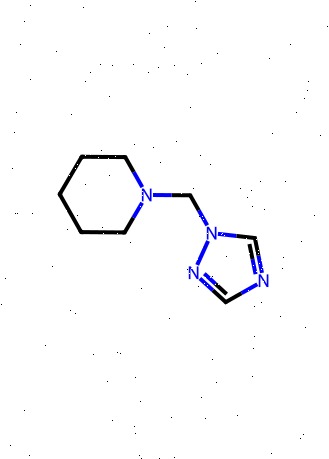 c1ncn(CN2CCCCC2)n1